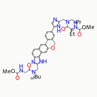 CC[C@H](NC(=O)OC)C(=O)N(Cc1ncc(-c2ccc3c(c2)COc2cc4c(ccc5nc(CN(C(=O)CNC(=O)OC)[C@@H](C)CC)[nH]c54)cc2-3)[nH]1)CC(C)C